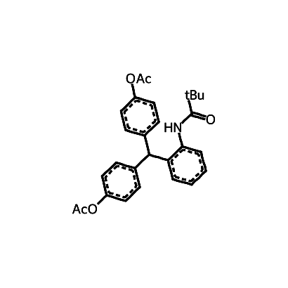 CC(=O)Oc1ccc(C(c2ccc(OC(C)=O)cc2)c2ccccc2NC(=O)C(C)(C)C)cc1